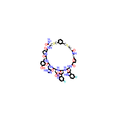 C[C@@]12CCCN1C(=O)[C@H](Cc1ccc(O)cc1)NC(=O)[C@H](Cc1cnc[nH]1)NC(=O)[C@H](CC(=O)O)NC(=O)[C@H](Cc1c[nH]c3ccc(F)cc13)NC(=O)[C@H](Cc1c[nH]c3ccc(F)cc13)NC(=O)c1ccc(o1)CNC(=O)CCSCc1cccc(c1)CSC[C@@H](C(N)=O)NC2=O